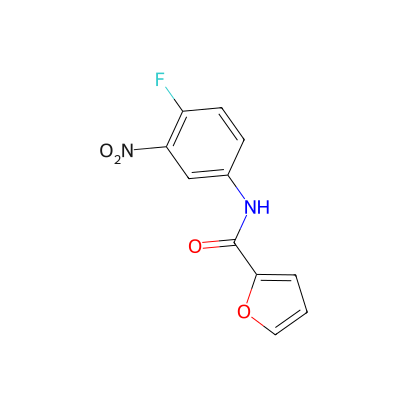 O=C(Nc1ccc(F)c([N+](=O)[O-])c1)c1ccco1